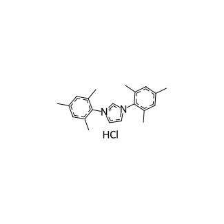 Cc1cc(C)c(-n2cc[n+](-c3c(C)cc(C)cc3C)c2)c(C)c1.Cl